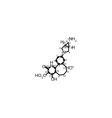 Cl.N[C@@H]1[C@H]2CN(c3ccc4c(c3)CCCCc3c-4[nH]c(=O)c(C(=O)O)c3O)C[C@@H]12